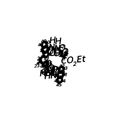 CCOC(=O)c1coc(S(=O)(=O)NC(=O)Nc2c3c(cc4c2CCC4/C=C(/C)c2coc(S(=O)(=O)NC(=O)Nc4c5c(cc6c4CCC6)CCC5)c2)CCC3)c1